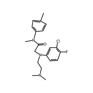 Cc1ccc(N(C)C(=O)CN(CCN(C)C)c2ccc(F)c(Cl)c2)cc1